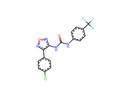 O=C(Nc1ccc(C(F)(F)F)cc1)Nc1nonc1-c1ccc(Cl)cc1